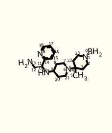 BN1CCC(C)(N2CCC(N[C@@H](CN)c3ccccn3)CC2)CC1